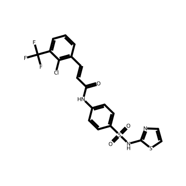 O=C(/C=C/c1cccc(C(F)(F)F)c1Cl)Nc1ccc(S(=O)(=O)Nc2nccs2)cc1